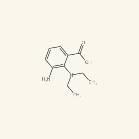 CCN(CC)c1c(N)cccc1C(=O)O